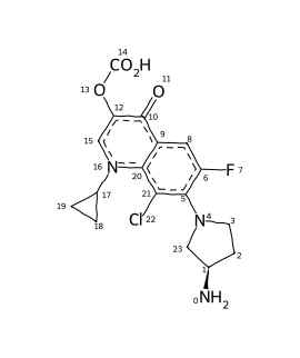 N[C@@H]1CCN(c2c(F)cc3c(=O)c(OC(=O)O)cn(C4CC4)c3c2Cl)C1